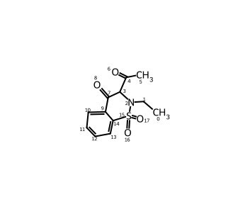 CCN1C(C(C)=O)C(=O)c2ccccc2S1(=O)=O